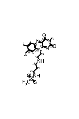 Cc1cc2nc3c(=O)n(C)c(=O)nc-3n(CCNCCCNS(=O)(=O)C(F)(F)F)c2cc1C